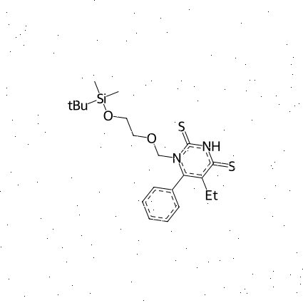 CCc1c(-c2ccccc2)n(COCCO[Si](C)(C)C(C)(C)C)c(=S)[nH]c1=S